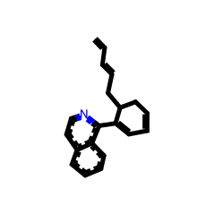 C=CC=CCC1CC=CC=C1c1nccc2ccccc12